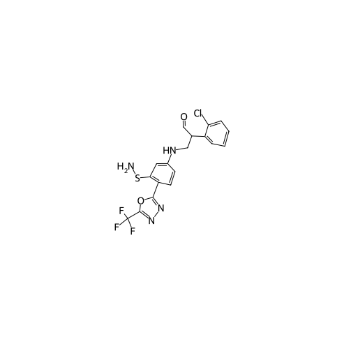 NSc1cc(NCC(C=O)c2ccccc2Cl)ccc1-c1nnc(C(F)(F)F)o1